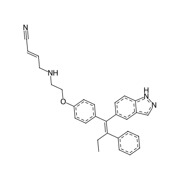 CCC(=C(c1ccc(OCCNCC=CC#N)cc1)c1ccc2[nH]ncc2c1)c1ccccc1